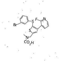 CN(Cc1cc(-c2cccnc2F)c(Sc2cccc(Br)c2)s1)C(=O)O